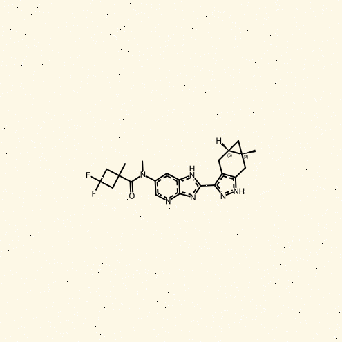 CN(C(=O)C1(C)CC(F)(F)C1)c1cnc2nc(-c3n[nH]c4c3C[C@@H]3C[C@]3(C)C4)[nH]c2c1